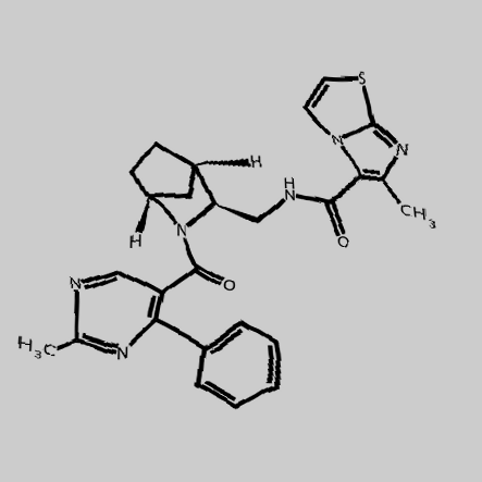 Cc1ncc(C(=O)N2[C@@H]3CC[C@@H](C3)[C@H]2CNC(=O)c2c(C)nc3sccn23)c(-c2ccccc2)n1